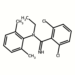 CCN(C(=N)c1c(Cl)cccc1Cl)c1c(C)cccc1C